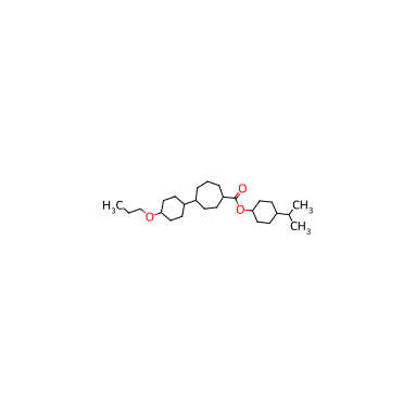 CCCOC1CCC(C2CCCC(C(=O)OC3CCC(C(C)C)CC3)CC2)CC1